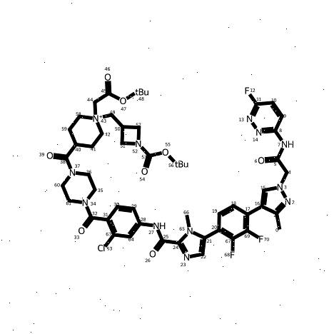 Cc1nn(CC(=O)Nc2ccc(F)nn2)cc1-c1ccc(-c2cnc(C(=O)Nc3ccc(C(=O)N4CCN(C(=O)C5CC[N+](CC(=O)OC(C)(C)C)(CC6CN(C(=O)OC(C)(C)C)C6)CC5)CC4)c(Cl)c3)n2C)c(F)c1F